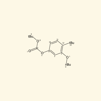 CCCCOc1cc(OC(=O)OC(C)(C)C)ccc1C(C)(C)C